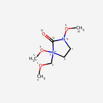 COC[N+]1(OC)CCN(OC)C1=O